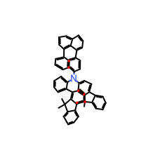 CC1(C)c2ccccc2-c2ccc(N(c3ccc(-c4cccc5cccc(-c6ccccc6)c45)cc3)c3ccccc3-c3cccc4c3C(C)(C)c3ccccc3-4)cc21